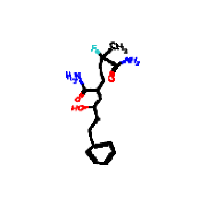 CC(F)(CCC(CC(O)[CH]Cc1ccccc1)C(N)=O)C(N)=O